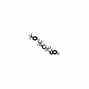 O=C(COc1ccc(C(F)(F)F)cc1)N[C@@H]1CC[C@@H](C(=O)Nc2ccc3cc(Cl)ccc3n2)OC1